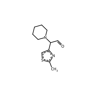 Cc1nc(C(C=O)N2CCCCC2)cs1